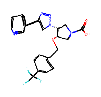 O=C(O)N1C[C@@H](n2cc(-c3cccnc3)nn2)[C@H](OCc2ccc(C(F)(F)F)cc2)C1